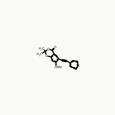 COc1cc2c(cc1C#Cc1ccccc1)C(=O)OC(C)(C)O2